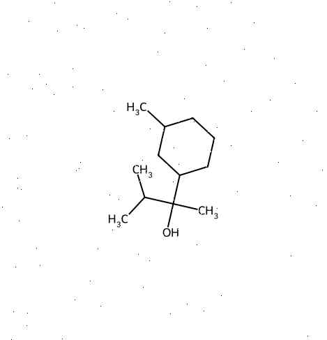 CC1CCCC(C(C)(O)C(C)C)C1